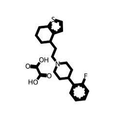 Fc1ccccc1C1CCN(CCC2CCCc3sccc32)CC1.O=C(O)C(=O)O